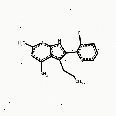 CCCc1c(-c2ncccc2F)[nH]c2nc(C)nc(N)c12